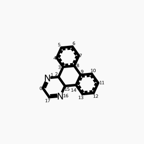 C1=NC2c3ccccc3-c3ccccc3C2N=C1